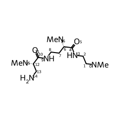 CNCCNC(=O)[C@H](CCNC(=O)[C@H](CN)NC)NC